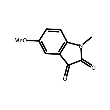 COc1ccc2c(c1)C(=O)C(=O)N2C